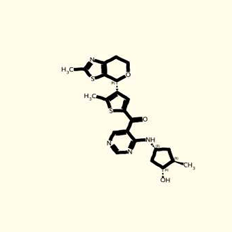 Cc1nc2c(s1)[C@@H](c1cc(C(=O)c3cncnc3N[C@@H]3C[C@@H](C)[C@H](O)C3)sc1C)OCC2